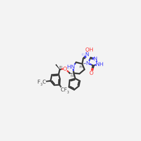 C[C@@H](OC[C@@]1(c2ccccc2)CC[C@@](/C=N/O)(n2cn[nH]c2=O)CN1)c1cc(C(F)(F)F)cc(C(F)(F)F)c1